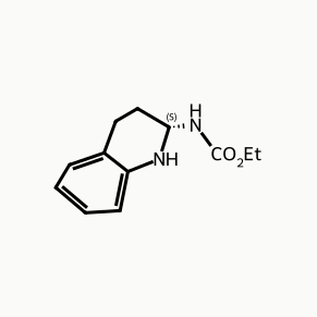 CCOC(=O)N[C@H]1CCc2ccccc2N1